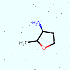 CC1OCC[C@@H]1N